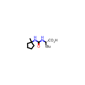 CC1(NC(=O)N[C@H](C(=O)O)C(C)(C)C)CCCC1